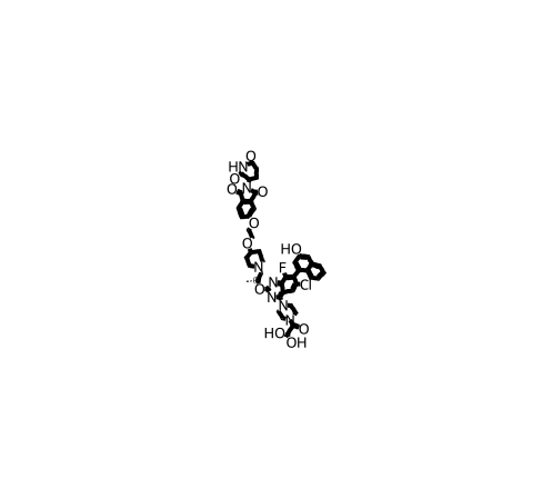 C[C@H](CN1CCC(OCCOc2ccc3c(c2)C(=O)N(C2CCC(=O)NC2=O)C3=O)CC1)Oc1nc(N2CCN(C(=O)C(O)O)CC2)c2cc(Cl)c(-c3cc(O)cc4ccccc34)c(F)c2n1